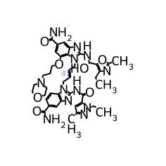 CCc1nc(C)oc1C(O)Nc1nc2cc(C(N)=O)cc(OCCCN3CCOCC3)c2n1C/C=C/Cn1c(NC(=O)c2cc(C)nn2CC)nc2cc(C(N)=O)ccc21